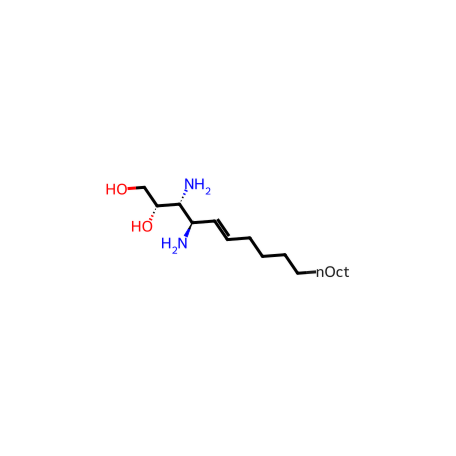 CCCCCCCCCCCC/C=C/[C@@H](N)[C@@H](N)[C@H](O)CO